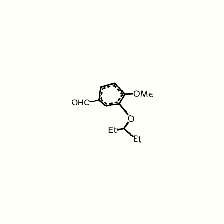 CCC(CC)Oc1cc(C=O)ccc1OC